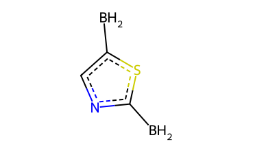 Bc1cnc(B)s1